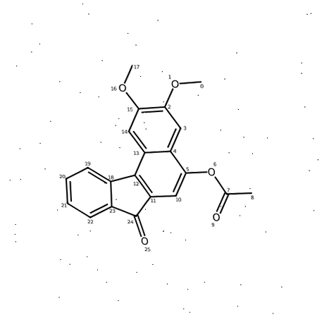 COc1cc2c(OC(C)=O)cc3c(c2cc1OC)-c1ccccc1C3=O